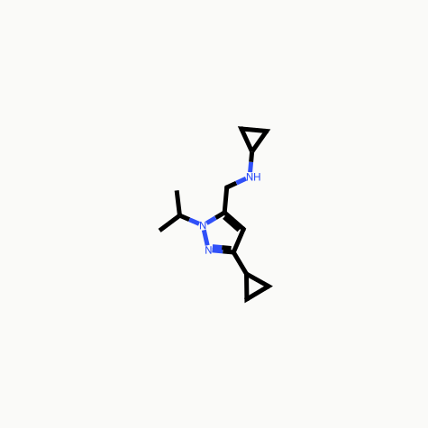 CC(C)n1nc(C2CC2)cc1CNC1CC1